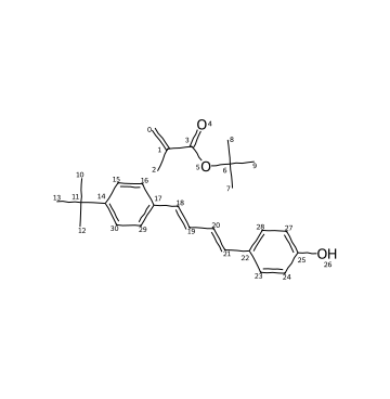 C=C(C)C(=O)OC(C)(C)C.CC(C)(C)c1ccc(C=CC=Cc2ccc(O)cc2)cc1